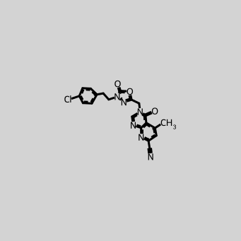 Cc1cc(C#N)nc2ncn(Cc3nn(CCc4ccc(Cl)cc4)c(=O)o3)c(=O)c12